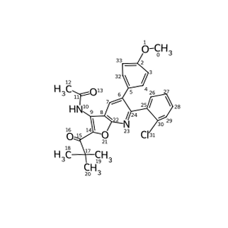 COc1ccc(-c2cc3c(NC(C)=O)c(C(=O)C(C)(C)C)oc3nc2-c2ccccc2Cl)cc1